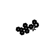 CC1=CC=Cc2ccccc2N1c1ccc(-c2c3ccccc3c(-c3cc4ccccc4c4ccccc34)c3ccccc23)cc1